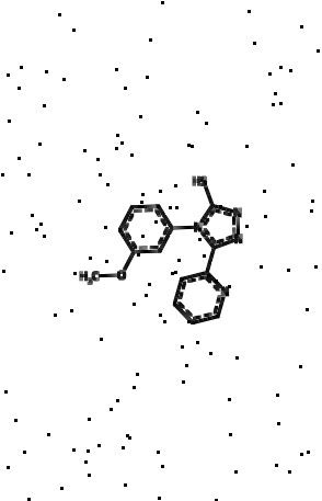 COc1cccc(-n2c(S)nnc2-c2ccccn2)c1